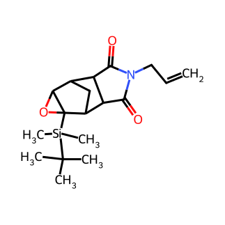 C=CCN1C(=O)C2C3CC(C2C1=O)C1([Si](C)(C)C(C)(C)C)OC31